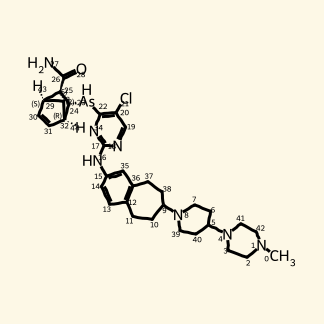 CN1CCN(C2CCN(C3CCc4ccc(Nc5ncc(Cl)c([AsH][C@H]6[C@H](C(N)=O)[C@@H]7C=C[C@H]6C7)n5)cc4CC3)CC2)CC1